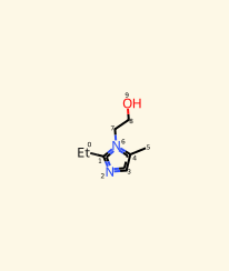 CCc1ncc(C)n1CCO